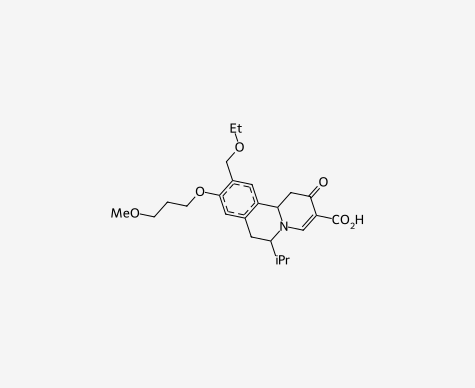 CCOCc1cc2c(cc1OCCCOC)CC(C(C)C)N1C=C(C(=O)O)C(=O)CC21